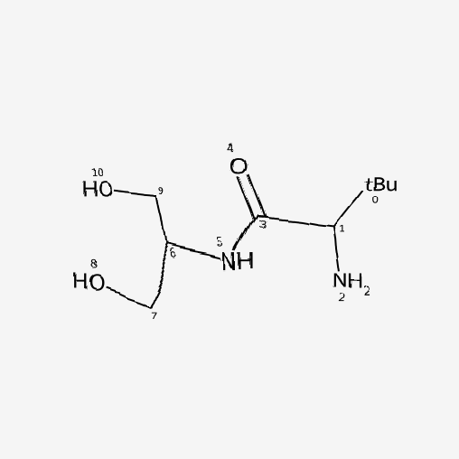 CC(C)(C)C(N)C(=O)NC(CO)CO